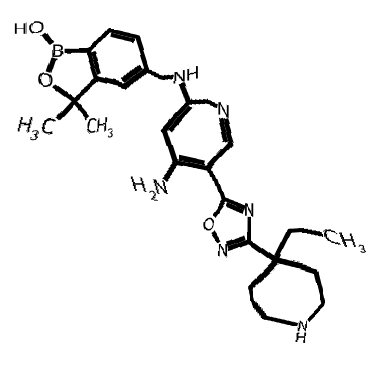 CCC1(c2noc(-c3cnc(Nc4ccc5c(c4)C(C)(C)OB5O)cc3N)n2)CCNCC1